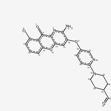 Nc1nc2c(=O)c3c(Cl)cccc3oc2cc1Oc1ccc(N2CCC(C=O)CC2)nc1